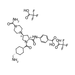 NC[C@H]1CC[C@H](C(=O)N2C[C@@H](N3CCN(C(N)=O)CC3)C[C@H]2C(=O)Nc2ccc(C(=O)O)cc2)CC1.O=C(O)C(F)(F)F.O=C(O)C(F)(F)F